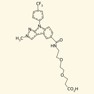 Cn1cc2c3cc(C(=O)NCCOCCOCCC(=O)O)ccc3n(-c3ccc(C(F)(F)F)cc3)c2n1